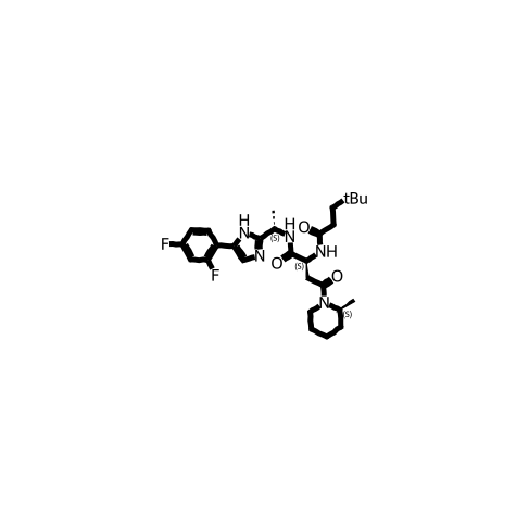 C[C@H](NC(=O)[C@H](CC(=O)N1CCCC[C@@H]1C)NC(=O)CCC(C)(C)C)c1ncc(-c2ccc(F)cc2F)[nH]1